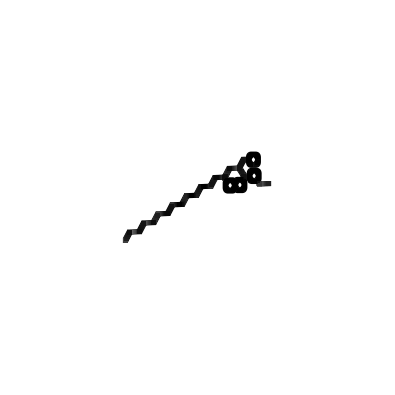 CCCCCCCCCCCCCCC(=O)CC(C=O)C(=O)OCC